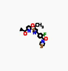 C[C@@H](Oc1ccc(C(=O)C2CC2)nc1)c1cc(-c2ccc(C(=O)N3CCSCC3)c(F)c2)ns1